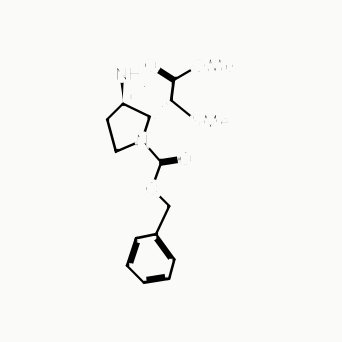 COC(=O)C(SC)[C@H]1[C@H](N)CCN1C(=O)OCc1ccccc1